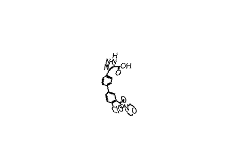 O=C(O)c1[nH]nnc1-c1ccc(-c2ccc(Cl)c(S(=O)(=O)N3CCOCC3)c2)cc1